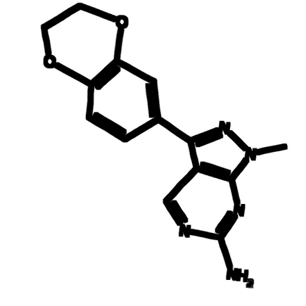 Cn1nc(-c2ccc3c(c2)OCCO3)c2cnc(N)nc21